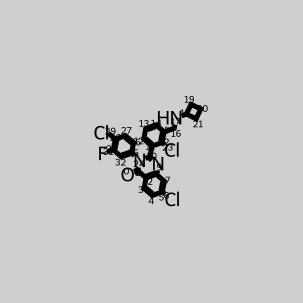 O=c1c2ccc(Cl)cc2nc(-c2cccc(CNC3CCC3)c2Cl)n1-c1ccc(Cl)c(F)c1